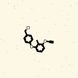 C#COc1cccc(Oc2ccc(CCl)cc2)c1C